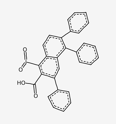 O=C(O)c1c(-c2ccccc2)cc2c(-c3ccccc3)c(-c3ccccc3)ccc2c1I(=O)=O